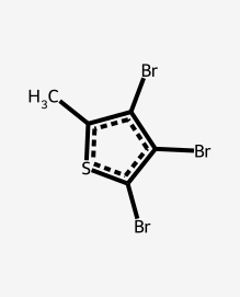 Cc1sc(Br)c(Br)c1Br